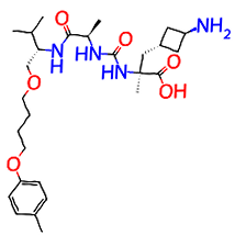 Cc1ccc(OCCCCOC[C@@H](NC(=O)[C@@H](C)NC(=O)N[C@@](C)(C[C@H]2C[C@H](N)C2)C(=O)O)C(C)C)cc1